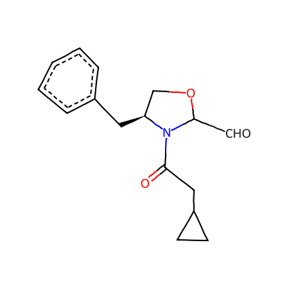 O=CC1OC[C@H](Cc2ccccc2)N1C(=O)CC1CC1